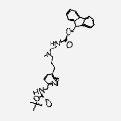 CN(CCCc1ccc(CNC(=O)OC(C)(C)C)nc1)CCNC(=O)OCC1c2ccccc2-c2ccccc21